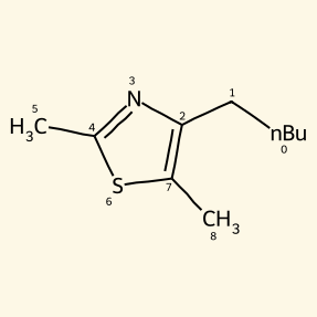 CCCCCc1nc(C)sc1C